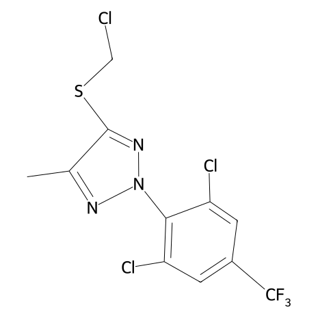 Cc1nn(-c2c(Cl)cc(C(F)(F)F)cc2Cl)nc1SCCl